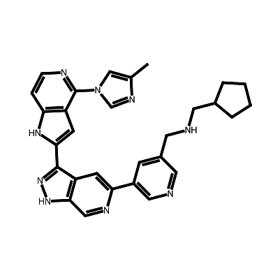 Cc1cn(-c2nccc3[nH]c(-c4n[nH]c5cnc(-c6cncc(CNCC7CCCC7)c6)cc45)cc23)cn1